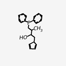 CC(CP(c1ccccc1)c1ccccc1)C(O)CC1C=CC=C1